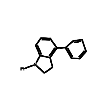 CC(C)N1CCc2c(-c3ccccc3)cccc21